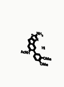 COc1ccc(C2C=C3C(=Cc4sc(N)nc43)C=C2NC(C)=O)cc1OC.I